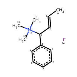 CC=CC(c1ccccc1)[N+](C)(C)C.[I-]